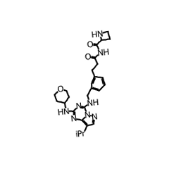 CC(C)c1cnn2c(NCc3cccc(CCC(=O)NC(=O)C4CCN4)c3)nc(NC3CCOCC3)nc12